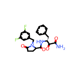 NC(=O)C(=O)[C@@H](Cc1ccccc1)NC(=O)C1CCC(=O)N1Cc1cc(F)cc(F)c1